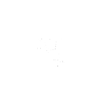 CC1CS(=O)(=O)OC1OS(C)(=O)=O